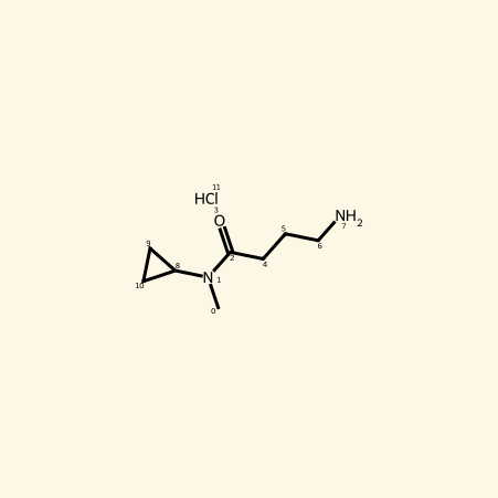 CN(C(=O)CCCN)C1CC1.Cl